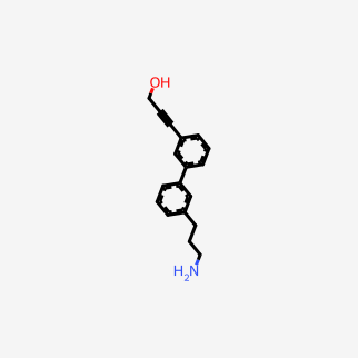 NCCCc1cccc(-c2cccc(C#CCO)c2)c1